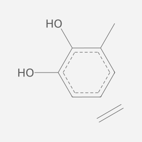 C=C.Cc1cccc(O)c1O